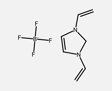 C=CN1C=CN(C=C)C1.F[B-](F)(F)F